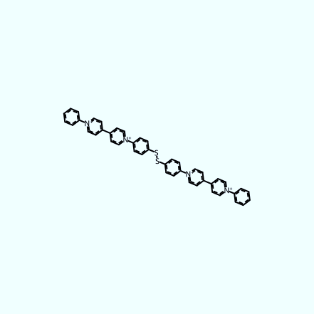 c1ccc(-[n+]2ccc(-c3cc[n+](-c4ccc(SSc5ccc(-[n+]6ccc(-c7cc[n+](-c8ccccc8)cc7)cc6)cc5)cc4)cc3)cc2)cc1